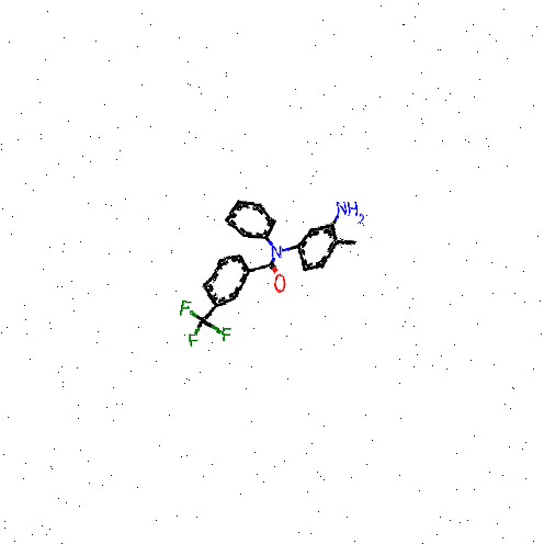 Cc1ccc(N(C(=O)c2cccc(C(F)(F)F)c2)c2ccccc2)cc1N